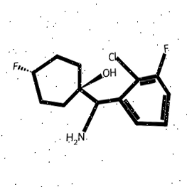 NC(c1cccc(F)c1Cl)[C@]1(O)CC[C@H](F)CC1